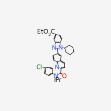 CCOC(=O)c1ccc2c(c1)nc(-c1ccc3nc(C(=O)N(c4ccc(Cl)cc4)C(C)C)ccc3c1)n2C1CCCCC1